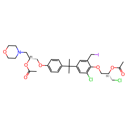 CC(=O)O[C@H](CCl)COc1c(Cl)cc(C(C)(C)c2ccc(OC[C@@H](CN3CCOCC3)OC(C)=O)cc2)cc1CI